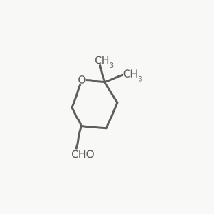 CC1(C)CCC(C=O)CO1